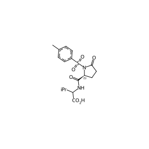 Cc1ccc(S(=O)(=O)N2C(=O)CC[C@H]2C(=O)NC(C(=O)O)C(C)C)cc1